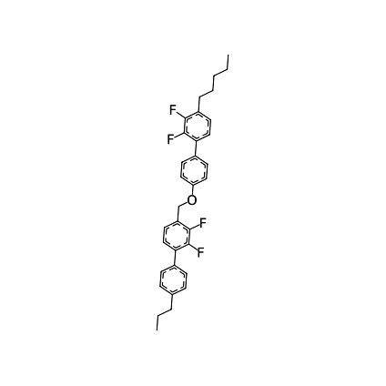 CCCCCc1ccc(-c2ccc(OCc3ccc(-c4ccc(CCC)cc4)c(F)c3F)cc2)c(F)c1F